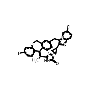 C/C(=C1/c2ccc(Cc3c(C4CC4)nc4ccc(Cl)cn34)cc2COc2cc(F)ccc21)c1noc(=O)[nH]1